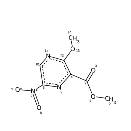 COC(=O)c1nc([N+](=O)[O-])cnc1OC